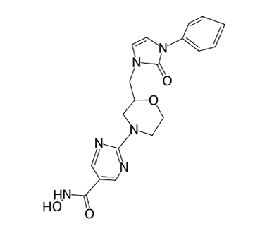 O=C(NO)c1cnc(N2CCOC(Cn3ccn(-c4ccccc4)c3=O)C2)nc1